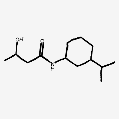 CC(O)CC(=O)NC1CCCC(C(C)C)C1